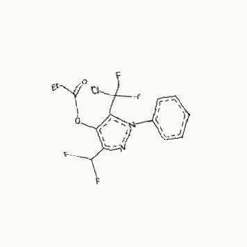 CCC(=O)Oc1c(C(F)F)nn(-c2ccccc2)c1C(F)(F)Cl